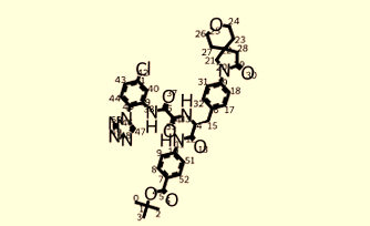 CC(C)(C)OC(=O)c1ccc(NC(=O)[C@H](Cc2ccc(N3CC4(CCOCC4)CC3=O)cc2)NC(=O)C(=O)Nc2cc(Cl)ccc2-n2cnnn2)cc1